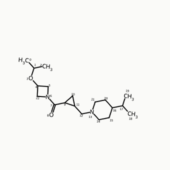 CC(C)OC1CN(C(=O)C2CC2CN2CCC(C(C)C)CC2)C1